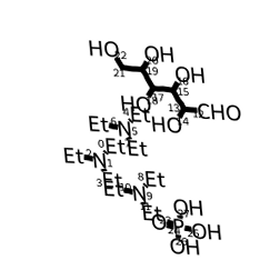 CCN(CC)CC.CCN(CC)CC.CCN(CC)CC.O=CC(O)C(O)C(O)C(O)CO.O=P(O)(O)O